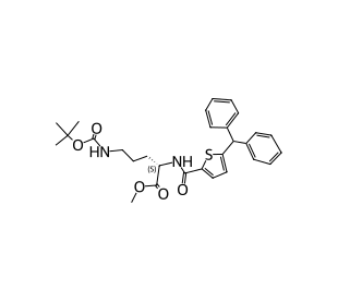 COC(=O)[C@H](CCCNC(=O)OC(C)(C)C)NC(=O)c1ccc(C(c2ccccc2)c2ccccc2)s1